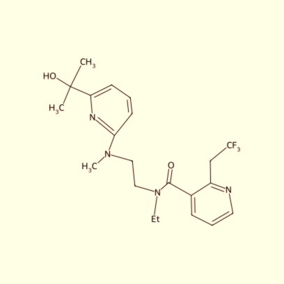 CCN(CCN(C)c1cccc(C(C)(C)O)n1)C(=O)c1cccnc1CC(F)(F)F